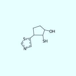 OC1CCC(c2cncs2)C1S